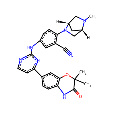 CN1C[C@@H]2C[C@H]1CN2c1ccc(Nc2nccc(-c3ccc4c(c3)OC(C)(C)C(=O)N4)n2)cc1C#N